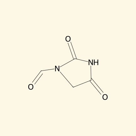 O=CN1CC(=O)NC1=O